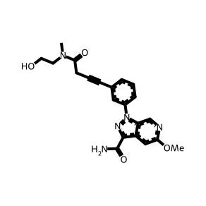 COc1cc2c(C(N)=O)nn(-c3cccc(C#CCC(=O)N(C)CCO)c3)c2cn1